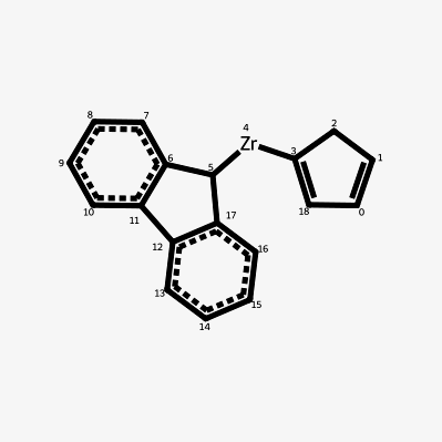 C1=CC[C]([Zr][CH]2c3ccccc3-c3ccccc32)=C1